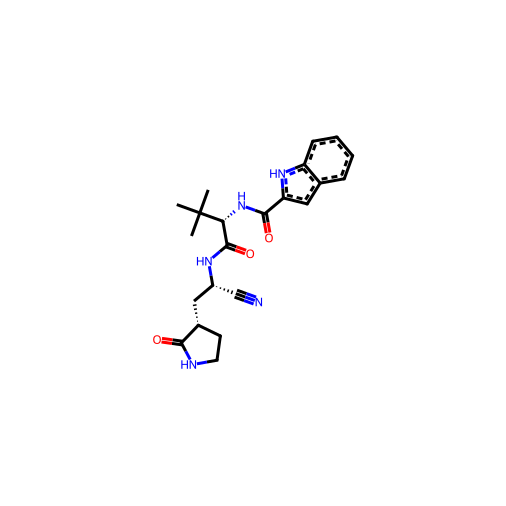 CC(C)(C)[C@H](NC(=O)c1cc2ccccc2[nH]1)C(=O)N[C@H](C#N)C[C@@H]1CCNC1=O